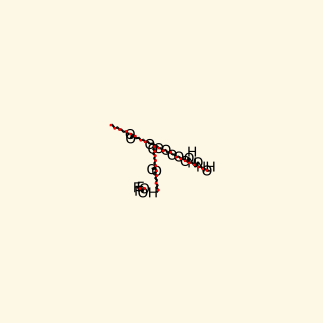 CCCCCCCCCOC(=O)CCCCCCCOCC(COCCOCCOCCOCCOC(=O)CNCC(=O)CNCCOC)OCCCCCCCC(=O)OCCCCCCCCC.O=C(O)C(F)(F)F